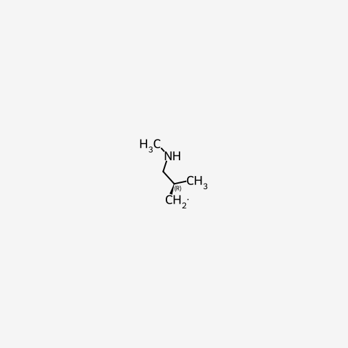 [CH2][C@H](C)CNC